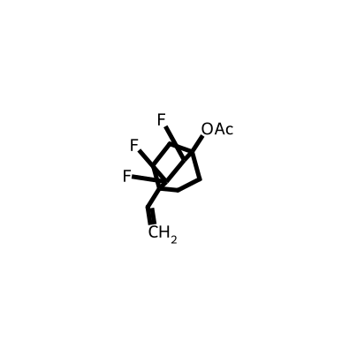 C=CC12CCC(OC(C)=O)(CC1)C(F)C2(F)F